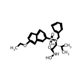 CCOc1ccc2ccc(S(=O)(=O)N(Cc3ccccc3)[C@@H](C(=O)NO)C(C)C)cc2c1